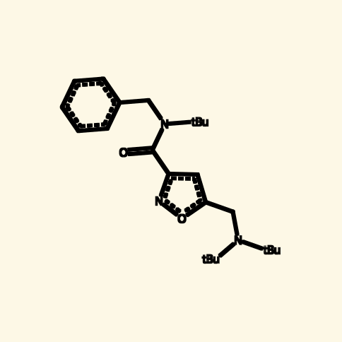 CC(C)(C)N(Cc1ccccc1)C(=O)c1cc(CN(C(C)(C)C)C(C)(C)C)on1